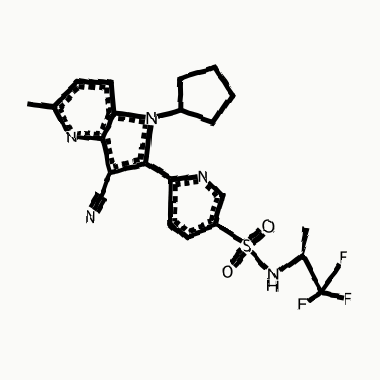 Cc1ccc2c(n1)c(C#N)c(-c1ccc(S(=O)(=O)N[C@@H](C)C(F)(F)F)cn1)n2C1CCCC1